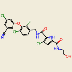 N#Cc1cc(Cl)cc(Oc2c(Cl)ccc(CNC(=O)c3[nH]c(C(=O)NCCO)cc3Cl)c2F)c1